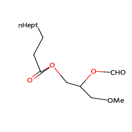 CCCCCCCCCC(=O)OCC(COC)OC=O